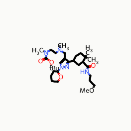 COCCCNC(=O)C1CC(c2nn(C3CCCCO3)cc2CN(C)CCN(C)C(=O)OC(C)(C)C)CCC1(C)C